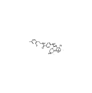 Cc1ccc(CCNC(=O)c2ccc(N/C(=N/C3[C@@H]4CC[C@@H](C)[C@H]3C4(C)C)N3CCN[C@@H](C)C3)cc2)c(F)c1